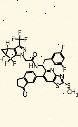 CSc1nc2nc([C@H](Cc3cc(F)cc(F)c3)NC(=O)Cn3nc(C(F)(F)F)c4c3C(F)(F)[C@@H]3C[C@H]43)c(-c3ccc4c(c3)C(=O)CC4)cc2s1